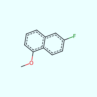 COc1cccc2cc(F)ccc12